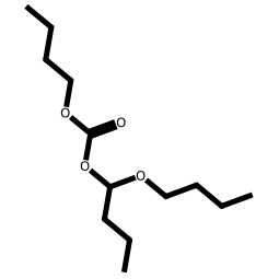 CCCCOC(=O)OC(CCC)OCCCC